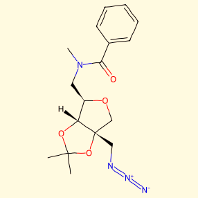 CN(C[C@H]1OC[C@]2(CN=[N+]=[N-])OC(C)(C)O[C@H]12)C(=O)c1ccccc1